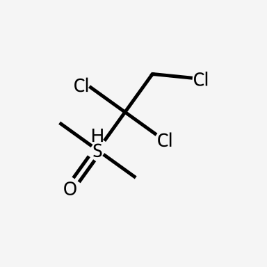 C[SH](C)(=O)C(Cl)(Cl)CCl